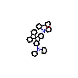 c1ccc(-c2ccccc2N(c2ccccc2)c2ccc3c(c2)C2(c4ccccc4-c4ccccc42)c2ccc(N(c4ccccc4)c4ccccc4)cc2-3)cc1